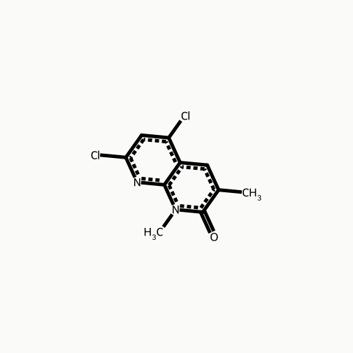 Cc1cc2c(Cl)cc(Cl)nc2n(C)c1=O